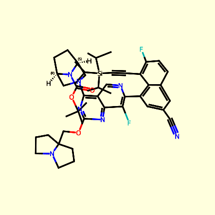 CC(C)[Si](C#Cc1c(F)ccc2cc(C#N)cc(-c3ncc4c(N5C[C@H]6CC[C@@H](C5)N6C(=O)OC(C)(C)C)nc(OCC56CCCN5CCC6)nc4c3F)c12)(C(C)C)C(C)C